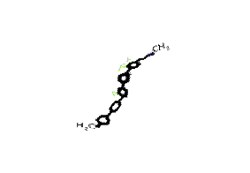 C=CC1CCC(C2CCC(c3ccc(-c4ccc(-c5ccc(CC/C=C/C)c(F)c5F)cc4)cc3F)CC2)CC1